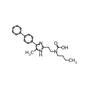 CCCCN(CCc1nc(-c2ccc(-c3ccccc3)cc2)c(C)[nH]1)C(=O)O